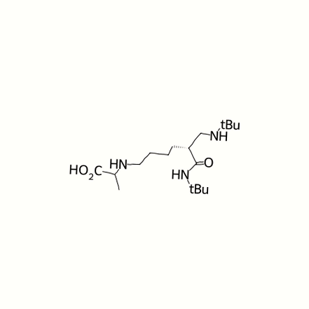 CC(NCCCC[C@H](CNC(C)(C)C)C(=O)NC(C)(C)C)C(=O)O